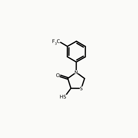 O=C1C(S)SCN1c1cccc(C(F)(F)F)c1